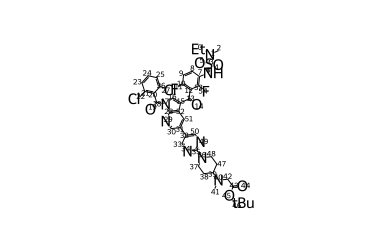 CCN(C)S(=O)(=O)Nc1ccc(F)c(C(=O)c2cn(C(=O)c3c(Cl)cccc3Cl)c3ncc(-c4cnc(N5CCC(N(C)CC(=O)OC(C)(C)C)CC5)nc4)cc23)c1F